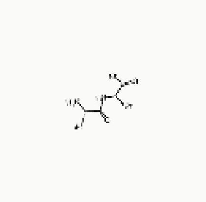 CCC(=O)[C@H](NC(=O)[C@@H](N)C(C)C)C(C)C